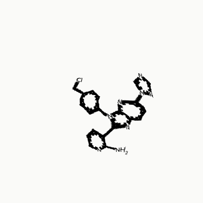 Nc1ncccc1-c1nc2ccc(-n3cncn3)nc2n1-c1ccc(CCl)cc1